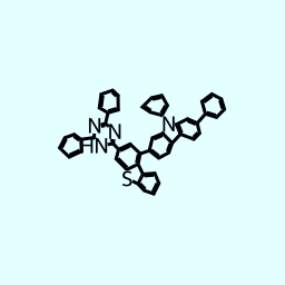 c1ccc(C2=NC(c3ccccc3)NC(c3cc(-c4ccc5c6ccc(-c7ccccc7)cc6n(-c6ccccc6)c5c4)c4c(c3)sc3ccccc34)=N2)cc1